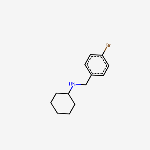 Brc1ccc(CNC2CCCCC2)cc1